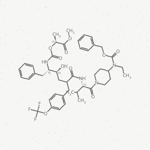 CCN(C(=O)OCc1ccccc1)C1CCN(C(=O)[C@@H](NC(=O)C(Cc2ccc(OC(F)(F)F)cc2)C[C@H](O)[C@H](Cc2ccccc2)NC(=O)O[C@@H](C)C(=O)OC)C(C)C)CC1